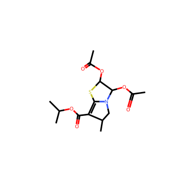 CC(=O)OC1SC2=C(C(=O)OC(C)C)C(C)CN2C1OC(C)=O